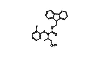 CC(CC=O)N(Sc1ccccc1F)C(=O)OCC1c2ccccc2-c2ccccc21